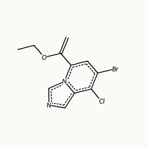 C=C(OCC)c1cc(Br)c(Cl)c2cncn12